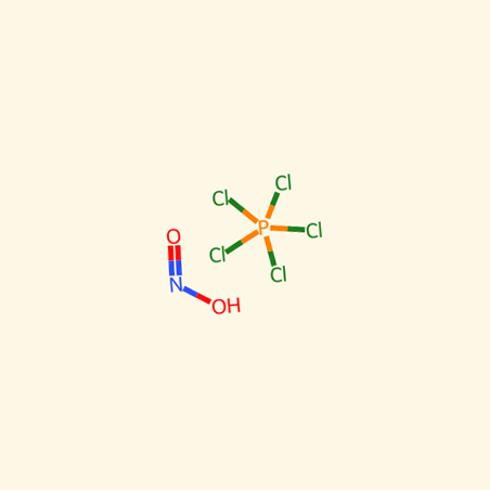 ClP(Cl)(Cl)(Cl)Cl.O=NO